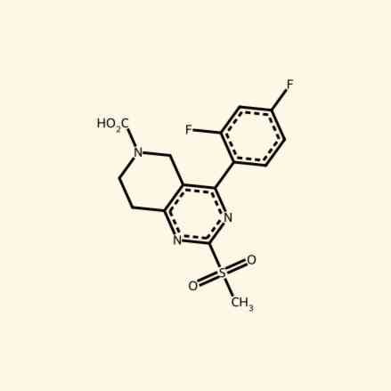 CS(=O)(=O)c1nc2c(c(-c3ccc(F)cc3F)n1)CN(C(=O)O)CC2